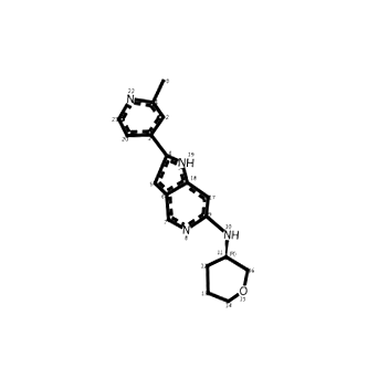 Cc1cc(-c2cc3cnc(N[C@@H]4CCCOC4)cc3[nH]2)ccn1